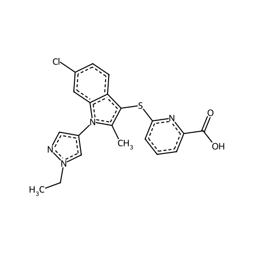 CCn1cc(-n2c(C)c(Sc3cccc(C(=O)O)n3)c3ccc(Cl)cc32)cn1